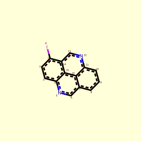 Ic1ccc2ncc3cccc4ncc1c2c34